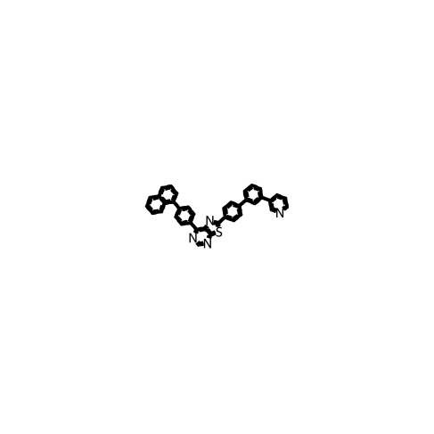 c1cncc(-c2cccc(-c3ccc(-c4nc5c(-c6ccc(-c7cccc8ccccc78)cc6)ncnc5s4)cc3)c2)c1